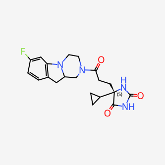 O=C1NC(=O)[C@](CCC(=O)N2CCN3c4cc(F)ccc4CC3C2)(C2CC2)N1